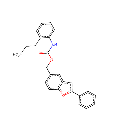 O=C(O)CCc1ccccc1NC(=O)OCc1ccc2oc(-c3ccccc3)cc2c1